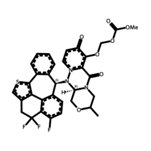 COC(=O)OCOc1c2n(ccc1=O)N([C@@H]1c3ccccc3-c3scc4c3-c3c1ccc(F)c3C(F)(F)C4)[C@@H]1COC(C)CN1C2=O